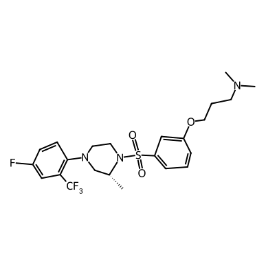 C[C@@H]1CN(c2ccc(F)cc2C(F)(F)F)CCN1S(=O)(=O)c1cccc(OCCCN(C)C)c1